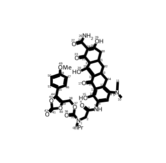 CCCN(CC(=O)Nc1cc(N(C)C)c2c(c1O)C(=O)C1=C(O)C3C(=O)C(C(N)=O)=C(O)CC3CC1C2)C(=O)OCc1oc(=O)oc1-c1ccc(OC)cc1